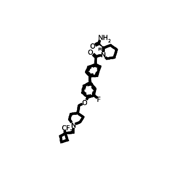 NC(=O)[C@H]1CCCCN1C(=O)c1ccc(-c2ccc(OCC3CCN(CC4(C(F)(F)F)CCC4)CC3)c(F)c2)cc1